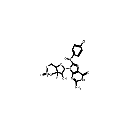 Nc1nc2c(nc([S+]([O-])c3ccc(Cl)cc3)n2[C@@H]2OC3CO[PH](=O)O[C@H]3C2O)c(=O)[nH]1